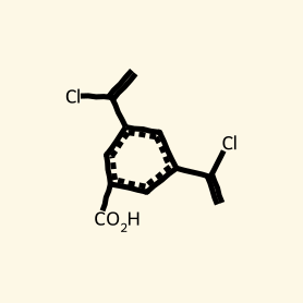 C=C(Cl)c1cc(C(=C)Cl)cc(C(=O)O)c1